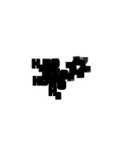 NC(CS(N)(=O)=O)(C(=O)O)C(=O)OCc1ccccc1